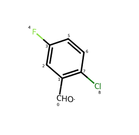 O=[C]c1cc(F)ccc1Cl